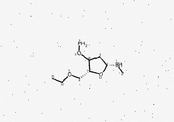 CB[C@H]1CC(OP)[C@@H](COCC)O1